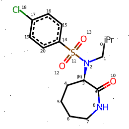 CC(C)CN([C@@H]1CCCCNC1=O)S(=O)(=O)c1ccc(Cl)cc1